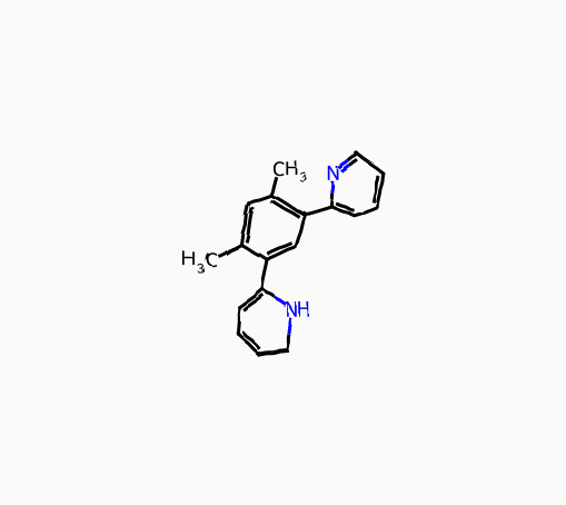 Cc1cc(C)c(-c2ccccn2)cc1C1=CC=CCN1